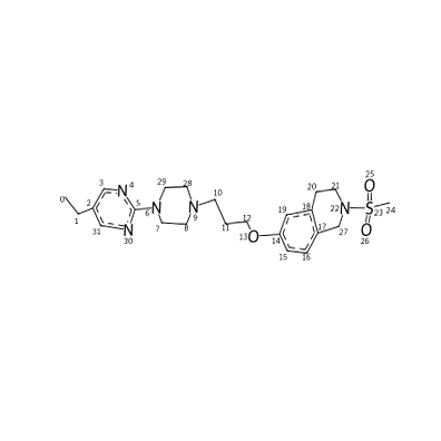 CCc1cnc(N2CCN(CCCOc3ccc4c(c3)CCN(S(C)(=O)=O)C4)CC2)nc1